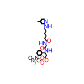 Cc1ccnc(NCCCCCC(=O)NCC(=O)NC(CC(=O)OC(=O)C(F)(F)F)c2cccc([N+](=O)[O-])c2)c1